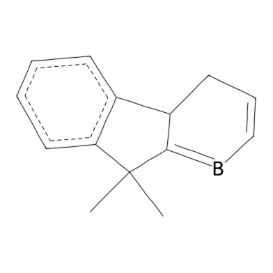 CC1(C)C2=BC=CCC2c2ccccc21